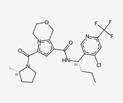 CCC[C@H](NC(=O)c1cc(C(=O)N2CCC[C@@H]2C)n2c1COCC2)c1cnc(C(F)(F)F)cc1Cl